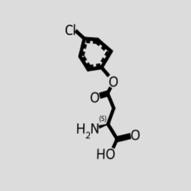 N[C@@H](CC(=O)Oc1ccc(Cl)cc1)C(=O)O